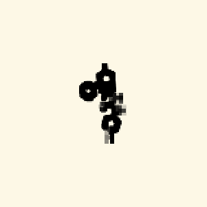 CC1CC2CC(C)(NC(=O)NC3CCNCC3)CC(c3ccccc3)(C1)C2